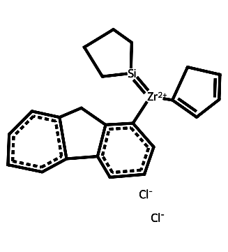 C1=CC[C]([Zr+2]([c]2cccc3c2Cc2ccccc2-3)=[Si]2CCCC2)=C1.[Cl-].[Cl-]